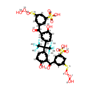 O=C(c1cc(SOOO)cc(S(=O)(=O)O)c1)c1cc(C(c2ccc(O)c(C(=O)c3cc(SOOO)cc(S(=O)(=O)O)c3)c2)(C(F)(F)F)C(F)(F)F)ccc1O